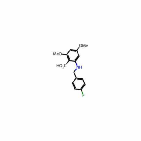 COc1cc(NCc2ccc(F)cc2)c(C(=O)O)c(OC)c1